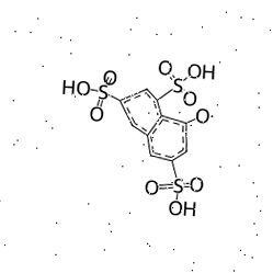 [O]c1cc(S(=O)(=O)O)cc2cc(S(=O)(=O)O)cc(S(=O)(=O)O)c12